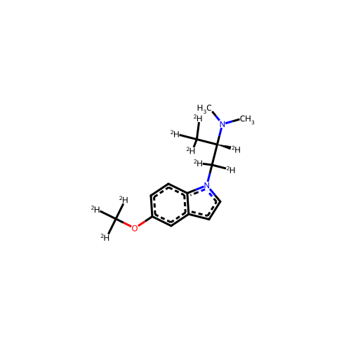 [2H]C([2H])([2H])Oc1ccc2c(ccn2C([2H])([2H])[C@@]([2H])(N(C)C)C([2H])([2H])[2H])c1